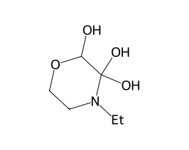 CCN1CCOC(O)C1(O)O